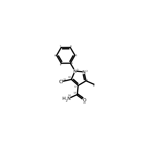 Cc1nn(-c2ccccc2)c(Cl)c1C(N)=O